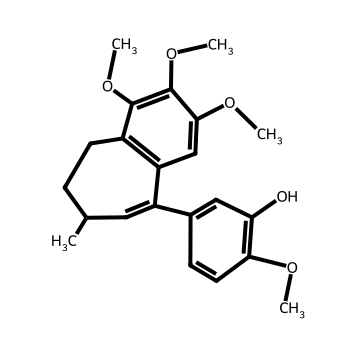 COc1ccc(C2=CC(C)CCc3c2cc(OC)c(OC)c3OC)cc1O